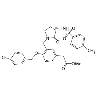 COC(=O)Cc1ccc(OCc2ccc(Cl)cc2)c(CN2CC[C@H](NS(=O)(=O)c3ccc(C)cc3)C2=O)c1